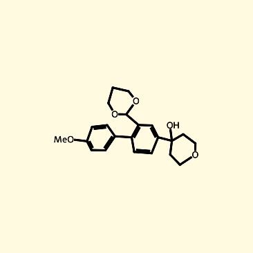 COc1ccc(-c2ccc(C3(O)CCOCC3)cc2C2OCCCO2)cc1